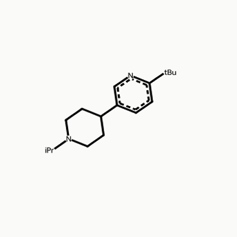 CC(C)N1CCC(c2ccc(C(C)(C)C)nc2)CC1